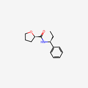 CC[C@H](NC(=O)[C@H]1CCCO1)c1ccccc1